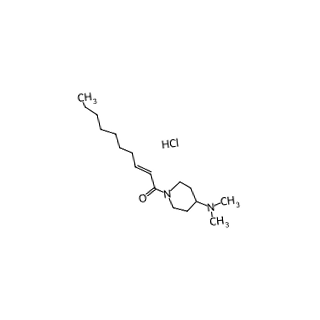 CCCCCCCC=CC(=O)N1CCC(N(C)C)CC1.Cl